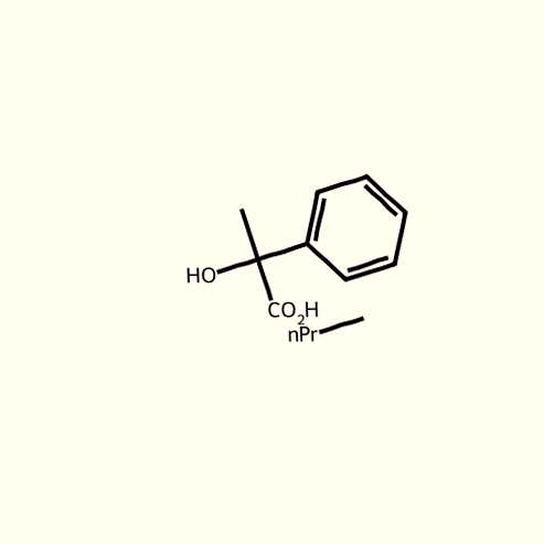 CC(O)(C(=O)O)c1ccccc1.CCCC